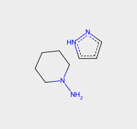 NN1CCCCC1.c1cn[nH]c1